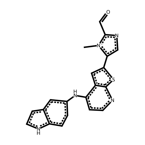 Cn1c(-c2cc3c(Nc4ccc5[nH]ccc5c4)ccnc3s2)cnc1C=O